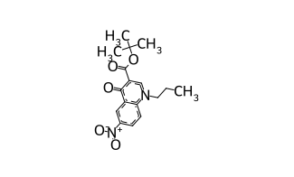 CCCn1cc(C(=O)OC(C)(C)C)c(=O)c2cc([N+](=O)[O-])ccc21